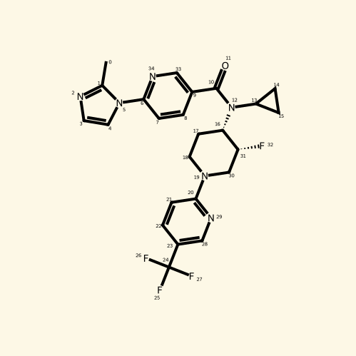 Cc1nccn1-c1ccc(C(=O)N(C2CC2)[C@H]2CCN(c3ccc(C(F)(F)F)cn3)C[C@H]2F)cn1